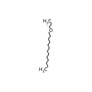 CC[CH]OCCCCCCCCCCCCC